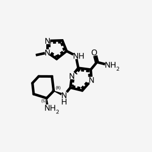 Cn1cc(Nc2nc(N[C@@H]3CCCC[C@@H]3N)cnc2C(N)=O)cn1